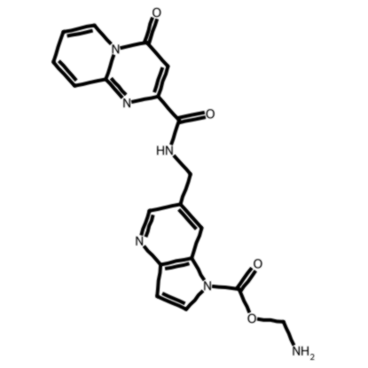 NCOC(=O)n1ccc2ncc(CNC(=O)c3cc(=O)n4ccccc4n3)cc21